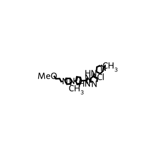 COCCCN1CCN(c2ccc(-c3nc4c(NC5CCN(C)CC5)c(Cl)cnc4[nH]3)cc2)C(C)C1